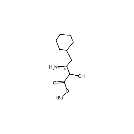 CC(C)(C)OC(=O)C(O)[C@@H](N)CC1CCCCC1